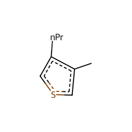 CCCc1cscc1C